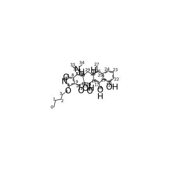 CCCCOc1noc2c1C(=O)[C@@]1(O)C(=O)C3=C(O)c4c(O)cccc4[C@H](C)[C@H]3C[C@H]1[C@@H]2N(C)C